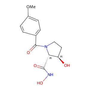 COc1ccc(C(=O)N2CC[C@@H](O)[C@@H]2C(=O)NO)cc1